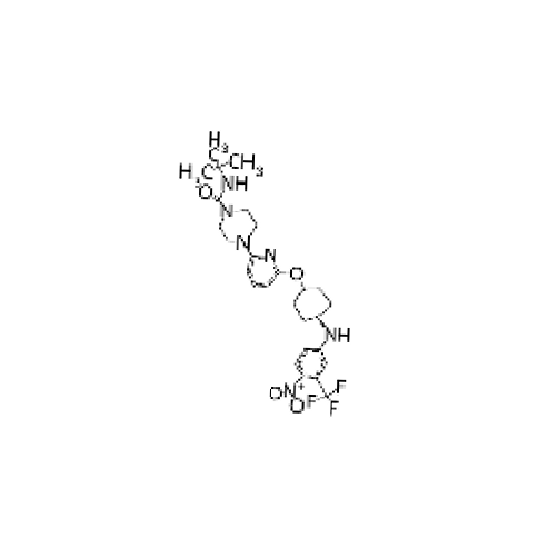 CC(C)(C)NC(=O)N1CCN(c2cccc(O[C@H]3CC[C@H](Nc4ccc([N+](=O)[O-])c(C(F)(F)F)c4)CC3)n2)CC1